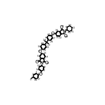 Cc1ccc(Oc2ccc(N3C(=O)c4ccc(Oc5ccc(C(C)(C)c6ccc(Oc7ccc8c(c7)C(=O)N(C7CCCCC7)C8=O)cc6)cc5)cc4C3=O)cc2)cc1